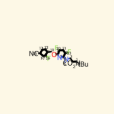 CC(C)(C)C=CCN(C(=O)O)c1nc(OCc2ccc(C#N)cc2F)c(F)cc1F